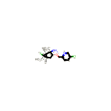 N[C@]1(C(=O)O)[C@H]2[C@@H](C[C@H]1OCc1ccc(Cl)cn1)[C@]2(F)C(=O)O